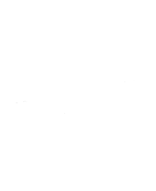 CCCCCCCCCCCCCCCCC(CCCCCCCCCCCCCCC)CC(=O)O